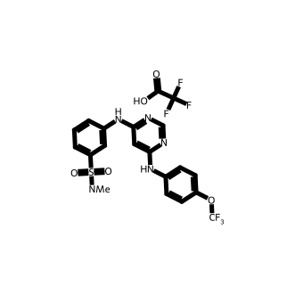 CNS(=O)(=O)c1cccc(Nc2cc(Nc3ccc(OC(F)(F)F)cc3)ncn2)c1.O=C(O)C(F)(F)F